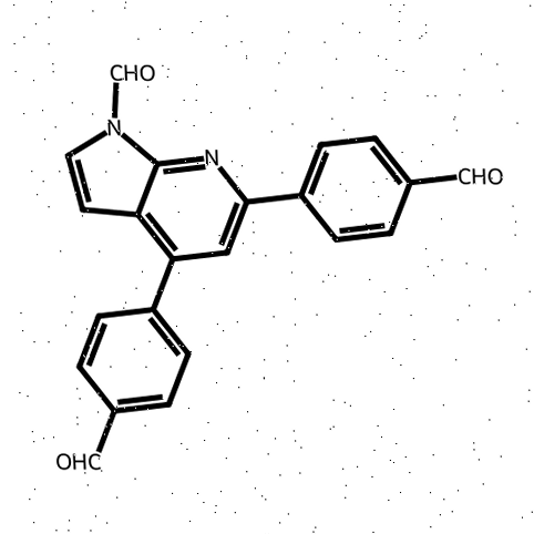 O=Cc1ccc(-c2cc(-c3ccc(C=O)cc3)c3ccn(C=O)c3n2)cc1